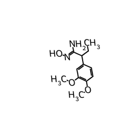 CCC(C(N)=NO)c1ccc(OC)c(OC)c1